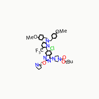 COc1ccc(CN(Cc2ccc(OC)cc2)c2ccc(C(F)(F)F)c(-c3cc4nc(OC[C@@H]5CCCN5C)nc(N5CCN(C(=O)OC(C)(C)C)CC5)c4cc3Cl)n2)cc1